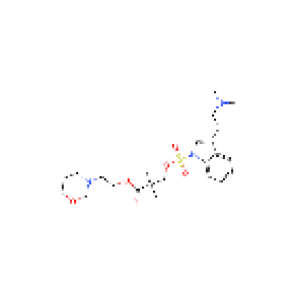 CN(C)CCc1cn(S(=O)(=O)OCC(C)(C)C(=O)OCCN2CCCOC2)c2ccccc12